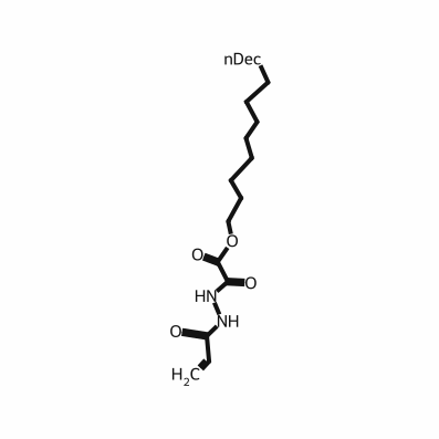 C=CC(=O)NNC(=O)C(=O)OCCCCCCCCCCCCCCCCCC